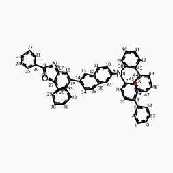 c1ccc(-c2ccc(N(c3ccc4cc(-c5cc6nc(-c7ccccc7)oc6c6ccccc56)ccc4c3)c3ccccc3-c3ccccc3)cc2)cc1